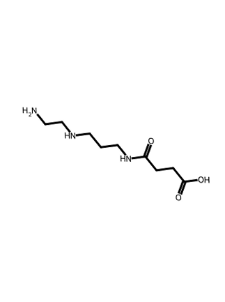 NCCNCCCNC(=O)CCC(=O)O